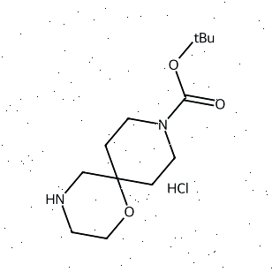 CC(C)(C)OC(=O)N1CCC2(CC1)CNCCO2.Cl